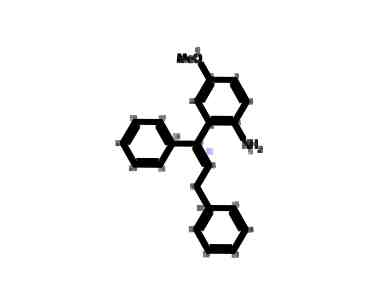 COc1ccc(N)c(/C(=C/Cc2ccccc2)c2ccccc2)c1